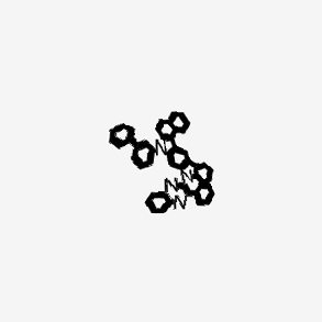 c1ccc(-c2cccc(-n3c4cc5c(cc4c4c6ccccc6ccc43)c3ccccc3n5-c3nc4ccccc4nc3-c3ccccc3)c2)cc1